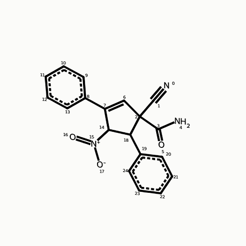 N#CC1(C(N)=O)C=C(c2ccccc2)C([N+](=O)[O-])C1c1ccccc1